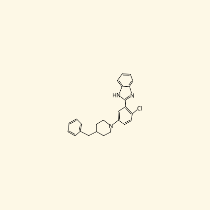 Clc1ccc(N2CCC(Cc3ccccc3)CC2)cc1-c1nc2ccccc2[nH]1